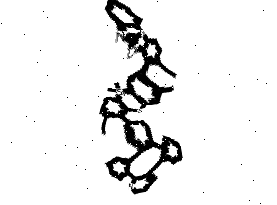 Cc1cc2c(cc1-c1c(C)ccc3c1oc1nc4ccccc4n13)[Si](C)(C)c1ccc(C)c(-c3ccc4c(c3)-c3ccccc3-c3ncccc3-c3ccccc3-4)c1S2